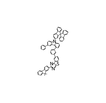 CC1(C)c2ccccc2-c2ccc(-c3ncc4sc5ccc(-c6cccc(-c7cccc8c7c7cc(-c9ccccc9)ccc7n8-c7ccc8c(c7)C7(c9ccccc9-c9ccccc97)c7ccccc7-8)c6)cc5c4n3)cc21